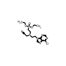 CCOP(=O)(CCN(CC#N)CCn1cnc2c(Cl)ncnc21)OCC